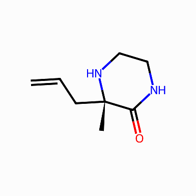 C=CC[C@]1(C)NCCNC1=O